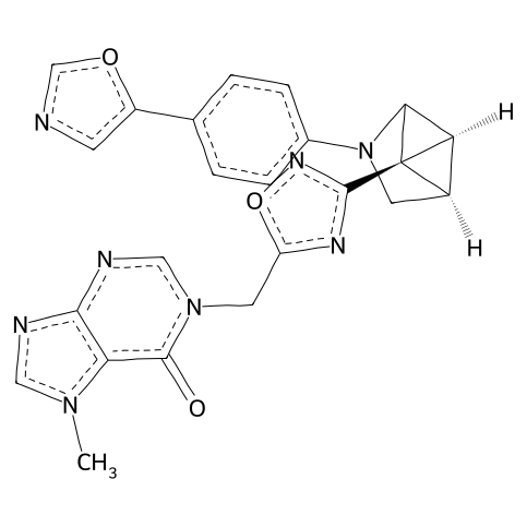 Cn1cnc2ncn(Cc3nc([C@@]45C6[C@H]4[C@H]5CN6c4ccc(-c5cnco5)cc4)no3)c(=O)c21